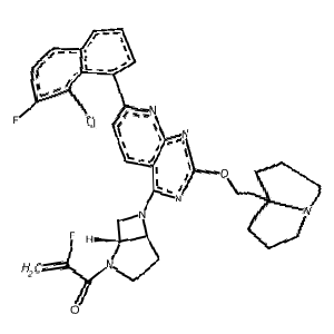 C=C(F)C(=O)N1CCC2[C@H]1CN2c1nc(OCC23CCCN2CCC3)nc2nc(-c3cccc4ccc(F)c(Cl)c34)ccc12